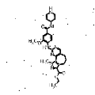 CCOC(=O)c1nn(C)c2c1CCCc1cnc(Nc3ccc(C(=O)NC4CCNCC4)cc3OC)nc1-2